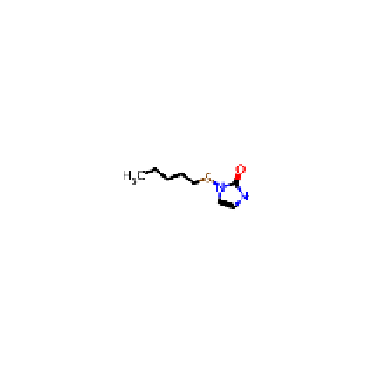 CCCCCSN1C=C[N]C1=O